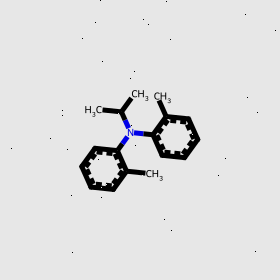 Cc1ccccc1N(c1ccccc1C)C(C)C